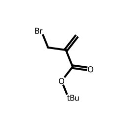 C=C(CBr)C(=O)OC(C)(C)C